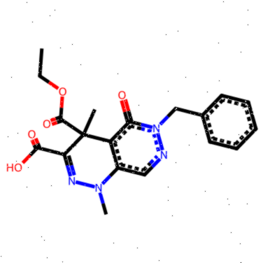 CCOC(=O)C1(C)C(C(=O)O)=NN(C)c2cnn(Cc3ccccc3)c(=O)c21